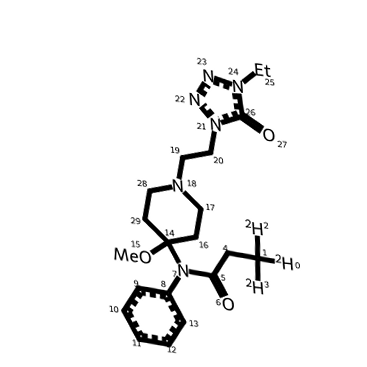 [2H]C([2H])([2H])CC(=O)N(c1ccccc1)C1(OC)CCN(CCn2nnn(CC)c2=O)CC1